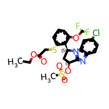 CCOC(=O)CSc1cccc(OC(F)F)c1[C@@H]1C[C@H](OS(C)(=O)=O)c2nc3ccc(Cl)cc3n21